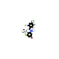 C[C@@H](Nc1cc(Br)cc(F)c1[N+](=O)[O-])c1ccc(Cl)cc1Cl